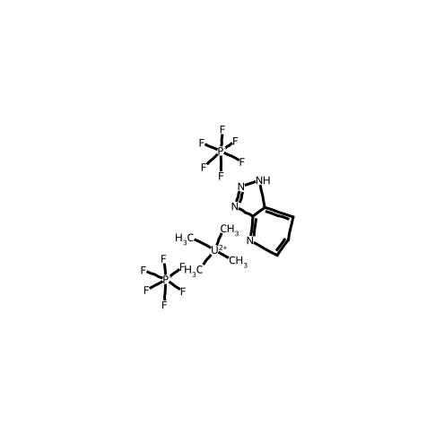 F[P-](F)(F)(F)(F)F.F[P-](F)(F)(F)(F)F.[CH3][U+2]([CH3])([CH3])[CH3].c1cnc2nn[nH]c2c1